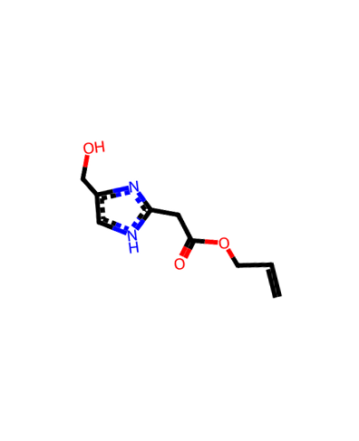 C=CCOC(=O)Cc1nc(CO)c[nH]1